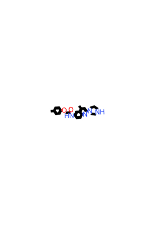 Cc1ccc(OCC(=O)Nc2ccc3nc(N4CCCNCC4)cc(C)c3c2)cc1